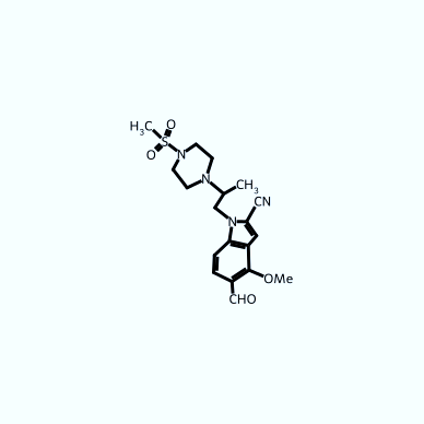 COc1c(C=O)ccc2c1cc(C#N)n2CC(C)N1CCN(S(C)(=O)=O)CC1